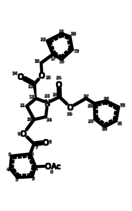 CC(=O)Oc1ccccc1C(=O)OC1C[C@@H](C(=O)OCc2ccccc2)N(C(=O)OCc2ccccc2)C1